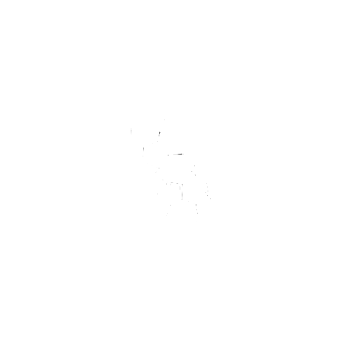 OC[C@H]1O[C@@H](n2cc(F)c3c(Cl)ncnc32)[C@H](O)[C@@H]1O